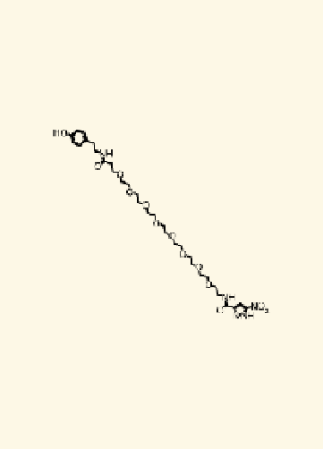 O=C(CCOCCOCCOCCOCCOCCOCCOCCOCCNC(=O)c1cc([N+](=O)[O-])[nH]n1)NCCc1ccc(O)cc1